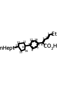 CCC=CC=C(C(=O)O)c1ccc(C2CCC(CCCCCCC)CC2)cc1